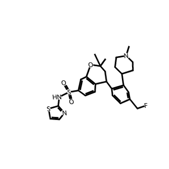 CN1CCC(c2cc(CF)ccc2C2CC(C)(C)Oc3cc(S(=O)(=O)Nc4nccs4)ccc32)CC1